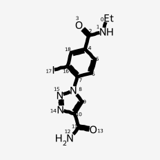 CCNC(=O)c1ccc(-n2cc(C(N)=O)nn2)c(I)c1